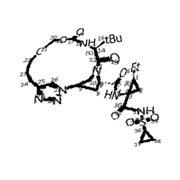 CC[C@@H]1C[C@]1(NC(=O)[C@@H]1CC2CN1C(=O)[C@H](C(C)(C)C)NC(=O)OCCCCCc1cn2nn1)C(=O)NS(=O)(=O)C1CC1